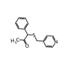 CC(=O)C(SCc1ccncc1)c1ccccc1